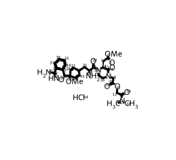 COC(=O)C[C@H]1C(=O)N(CC(=O)OCC(=O)N(C)C)CCN1C(=O)[C@@H](N)CC1C=CC(OC)(C(=O)c2ccccc2C(=N)N)C=C1.Cl